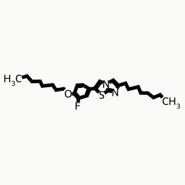 CCCCCCCCOc1ccc(-c2cn3cc(CCCCCCCC)nc3s2)cc1F